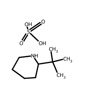 CC(C)(C)C1CCCCN1.O=S(=O)(O)O